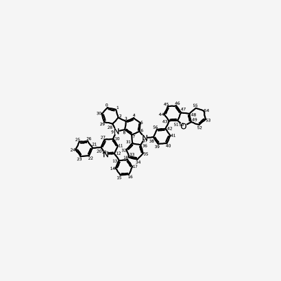 C1=CC2c3ccc4c(c3N(c3cc(-c5ccccc5)nc(-c5ccccc5)c3)C2C=C1)c1ccccc1n4-c1cccc(-c2cccc3c4c(oc23)C=CCC4)c1